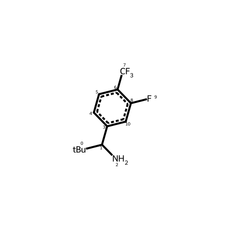 CC(C)(C)C(N)c1ccc(C(F)(F)F)c(F)c1